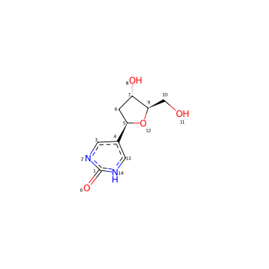 O=c1ncc([C@H]2C[C@H](O)[C@@H](CO)O2)c[nH]1